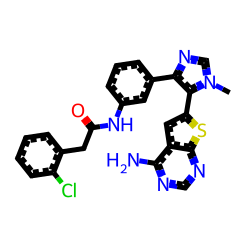 Cn1cnc(-c2cccc(NC(=O)Cc3ccccc3Cl)c2)c1-c1cc2c(N)ncnc2s1